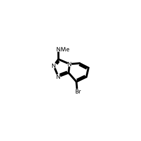 CNc1nnc2c(Br)cccn12